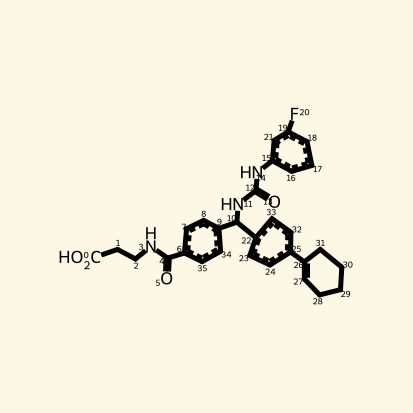 O=C(O)CCNC(=O)c1ccc(C(NC(=O)Nc2cccc(F)c2)c2ccc(C3=CCCCC3)cc2)cc1